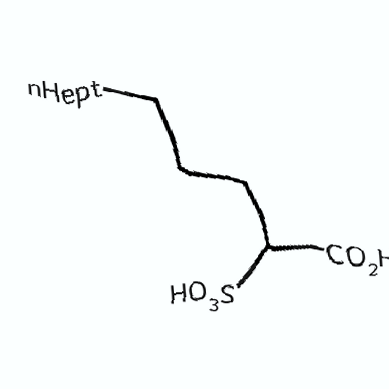 CCCCCCCCCCC(C(=O)O)S(=O)(=O)O